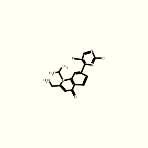 CC(C)n1c(CN)cc(=O)c2ccc(-c3nc(Cl)ncc3F)cc21